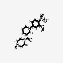 COc1cc(N2CCC[C@@H](C(=O)N3CCN(C)CC3)C2)ccc1[N+](=O)[O-]